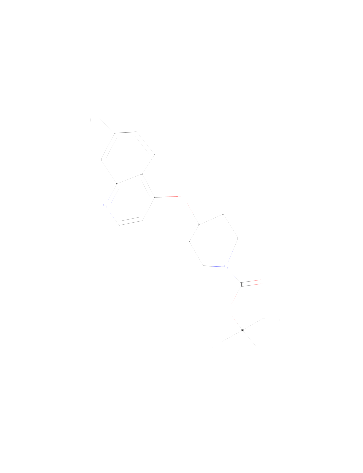 Cc1ccc2c(OC3CCN(C(=O)OC(C)(C)C)CC3)ccnc2c1